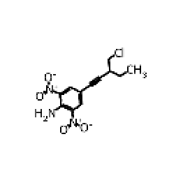 CCC(C#Cc1cc([N+](=O)[O-])c(N)c([N+](=O)[O-])c1)CCl